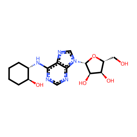 OC[C@H]1O[C@@H](n2cnc3c(N[C@H]4CCCC[C@@H]4O)ncnc32)[C@H](O)[C@@H]1O